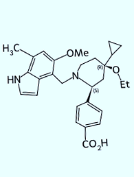 CCO[C@]1(C2CC2)CCN(Cc2c(OC)cc(C)c3[nH]ccc23)[C@H](c2ccc(C(=O)O)cc2)C1